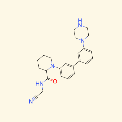 N#CCNC(=O)C1CCCCN1c1cccc(-c2cccc(N3CCNCC3)c2)c1